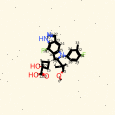 COCC(C)(C)c1c([C@H]2C[C@](O)(C(=O)O)C2)c2c(F)c3[nH]ncc3cc2n1-c1ccc(F)c(C)c1